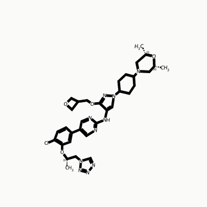 C[C@@H]1CN(C2CCC(n3cc(Nc4ncc(-c5ccc(Cl)c(O[C@@H](C)Cn6cnnn6)c5)cn4)c(OCC4COC4)n3)CC2)C[C@H](C)O1